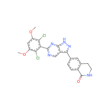 COc1cc(OC)c(Cl)c(-c2ncc3c(-c4ccc5c(c4)CCNC5=O)n[nH]c3n2)c1Cl